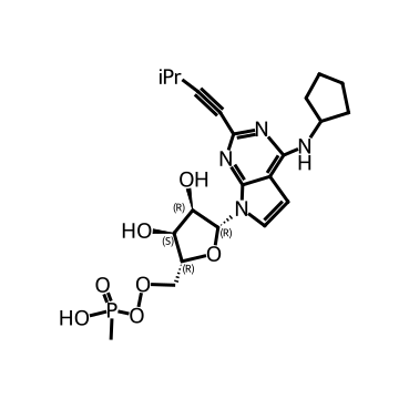 CC(C)C#Cc1nc(NC2CCCC2)c2ccn([C@@H]3O[C@H](COOP(C)(=O)O)[C@@H](O)[C@H]3O)c2n1